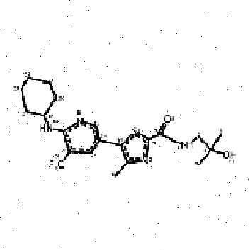 Cc1nc(C(=O)NCC(C)(C)O)sc1-c1cnc(NC2CCCCC2)c(C(F)(F)F)c1